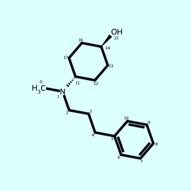 CN(CCCc1ccccc1)[C@H]1CC[C@H](O)CC1